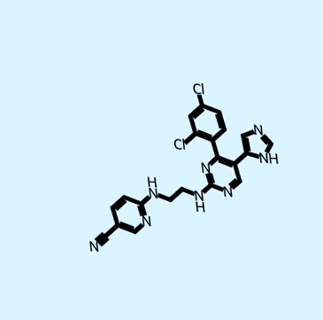 N#Cc1ccc(NCCNc2ncc(-c3cnc[nH]3)c(-c3ccc(Cl)cc3Cl)n2)nc1